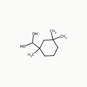 CC1(C)CCCC(C)(C(O)O)C1